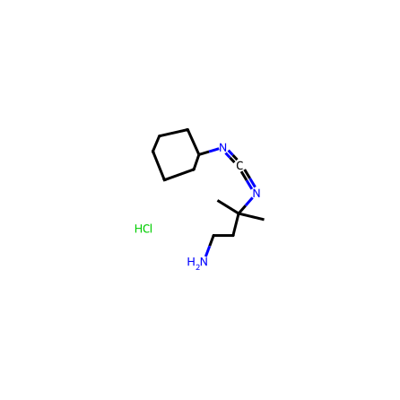 CC(C)(CCN)N=C=NC1CCCCC1.Cl